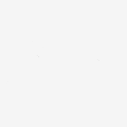 C=CCCC(C=C)N1Cc2cc(C3=CCN(Cc4ccccc4)CC3)ccc2C1=C